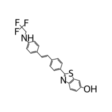 Oc1ccc2nc(-c3ccc(/C=C/c4ccc(NCC(F)(F)F)cc4)cc3)sc2c1